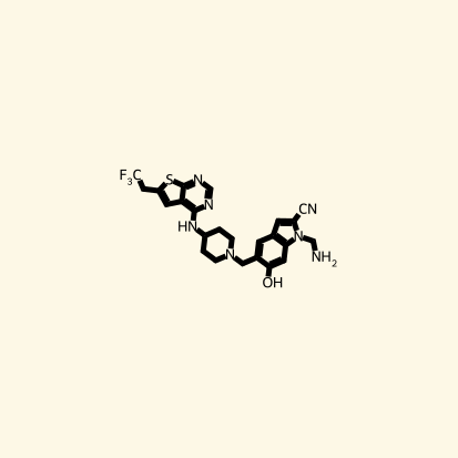 N#Cc1cc2cc(CN3CCC(Nc4ncnc5sc(CC(F)(F)F)cc45)CC3)c(O)cc2n1CN